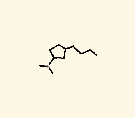 CCCCC1CCC(B(C)C)C1